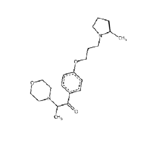 CC1CCCN1CCCOc1ccc(C(=O)C(C)N2CCOCC2)cc1